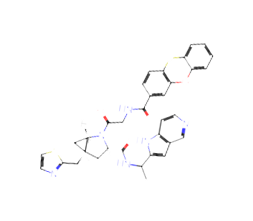 CC(NC(=O)[C@@H]1C[C@]2(Cc3nccs3)C[C@@H]2N1C(=O)CNC(=O)c1ccc2c(c1)Oc1ccccc1S2)c1cc2cnccc2[nH]1